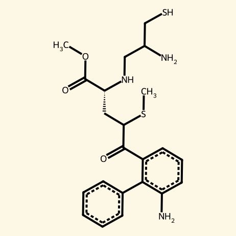 COC(=O)[C@@H](CC(SC)C(=O)c1cccc(N)c1-c1ccccc1)NCC(N)CS